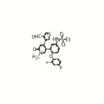 CCS(=O)(=O)Nc1ccc(Oc2ccc(F)cc2F)c(-c2cn(C)c(=O)cc2-c2cscc2C=O)c1